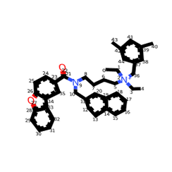 CC[N+](CC)(CCCCN(Cc1ccc2ccccc2c1)C(=O)c1ccc2oc3ccccc3c2c1)Cc1cc(C)cc(C)c1